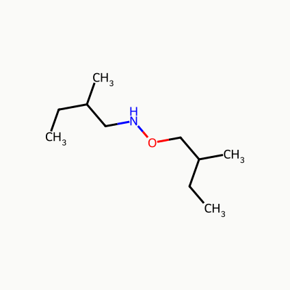 CCC(C)CNOCC(C)CC